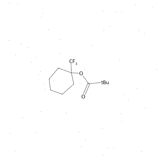 CC(C)(C)C(=O)OC1(C(F)(F)F)CCCCC1